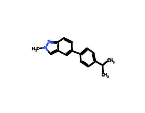 CC(C)c1ccc(-c2ccc3nn(C)cc3c2)cc1